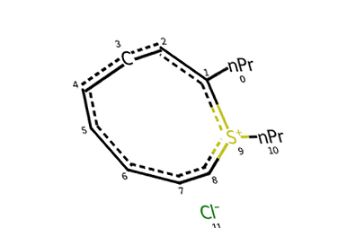 CCCc1ccccccc[s+]1CCC.[Cl-]